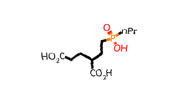 CCCP(=O)(O)CCC(CCC(=O)O)C(=O)O